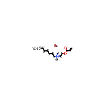 C=CC(=O)OCC[N+](C)(CC)CCCCCCCCCCCCCCCC.[Br-]